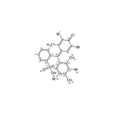 CC1=C(Br)C(=O)C(Br)=C/C1=C(/c1ccccc1S(=O)(=O)O)c1cc(Br)c(C)c(Br)c1C